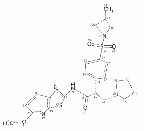 COc1ccc2nc(NC(=O)C(CC3CCCC3)c3ccc(S(=O)(=O)N4CC(C)C4)cc3)sc2n1